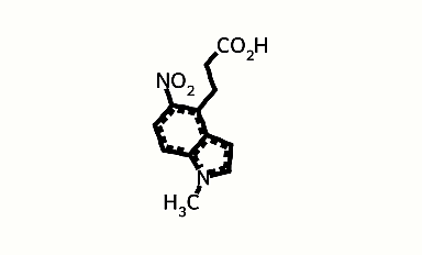 Cn1ccc2c(CCC(=O)O)c([N+](=O)[O-])ccc21